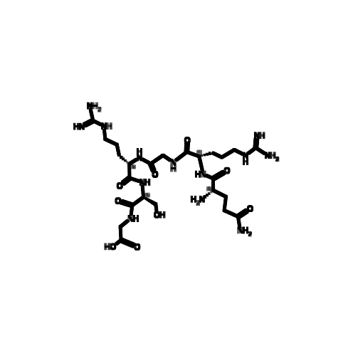 N=C(N)NCCC[C@H](NC(=O)CNC(=O)[C@H](CCCNC(=N)N)NC(=O)[C@@H](N)CCC(N)=O)C(=O)N[C@@H](CO)C(=O)NCC(=O)O